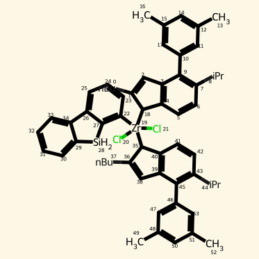 CCCCC1=Cc2c(ccc(C(C)C)c2-c2cc(C)cc(C)c2)[CH]1[Zr]([Cl])([Cl])([c]1cccc2c1[SiH2]c1ccccc1-2)[CH]1C(CCCC)=Cc2c1ccc(C(C)C)c2-c1cc(C)cc(C)c1